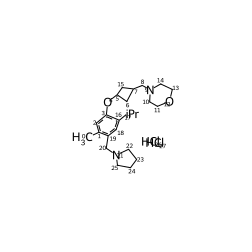 Cc1cc(OC2CC(CN3CCOCC3)C2)c(C(C)C)cc1CN1CCCC1.Cl.Cl